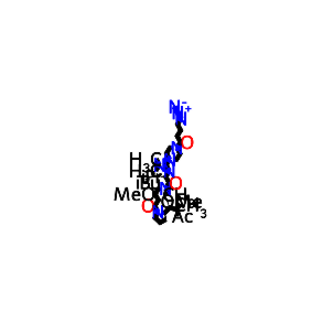 CC[C@H](C)[C@@H]([C@@H](CC(=O)N1CCC[C@H]1[C@H](OC)[C@@H](C)C(C)=O)OC)N(C)C(=O)[C@@H](/N=C(\N(C)C)N1CCN(C(=O)CCCN=[N+]=[N-])CC1)C(C)C